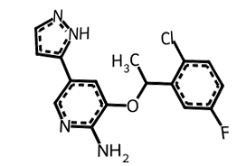 CC(Oc1cc(-c2ccn[nH]2)cnc1N)c1cc(F)ccc1Cl